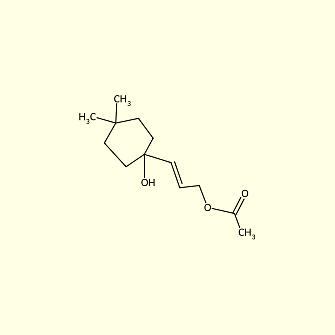 CC(=O)OCC=CC1(O)CCC(C)(C)CC1